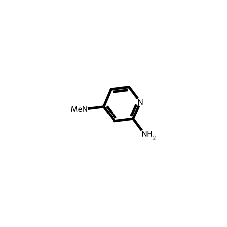 CNc1ccnc(N)c1